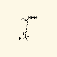 CCC(C)(C)OCCCC(=O)NC